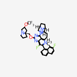 Cc1c(F)ccc2cccc(-c3nc4c5c(nc(OC[C@@]67CCCN6C[C@@H](OC(F)(F)F)C7)nc5c3F)N3C[C@H]5CC[C@H](N5)[C@H]3CC4)c12